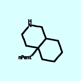 CCCCCC12CCCCC1CNCC2